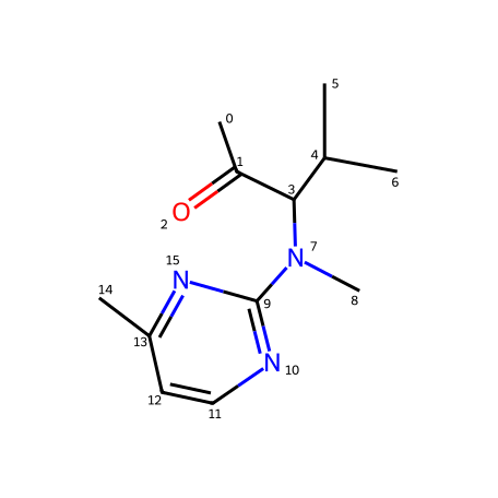 CC(=O)C(C(C)C)N(C)c1nccc(C)n1